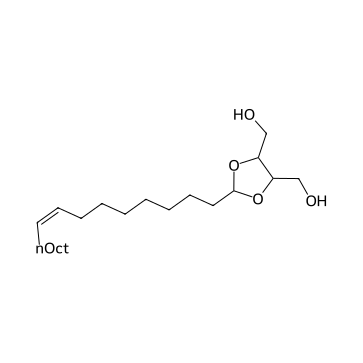 CCCCCCCC/C=C\CCCCCCCC1OC(CO)C(CO)O1